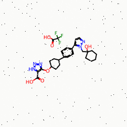 O=C(O)C(F)(F)F.O=C(O)c1[nH]nnc1OC1CCC(c2ccc(-c3ccnn3CC3(O)CCCCC3)cc2)CC1